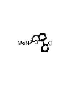 CNC[C@H]1CCc2cccc(-c3ccccc3Cl)c2O1